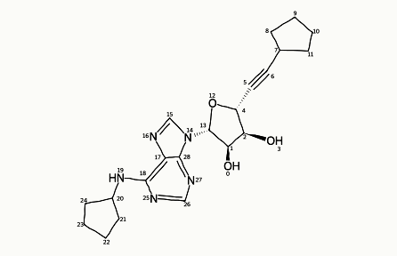 O[C@@H]1[C@H](O)[C@@H](C#CC2CCCC2)O[C@H]1n1cnc2c(NC3CCCC3)ncnc21